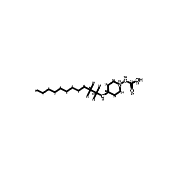 CCCCCCCCCC(C)(C)C(C)(C)OC1CCN(OC(=O)O)CC1